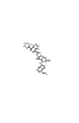 Nc1ncnc2c1ncn2Cc1cc(Cl)cc2cc(CNC(=O)c3ccccc3C(=O)N3CCCCC3)[nH]c12